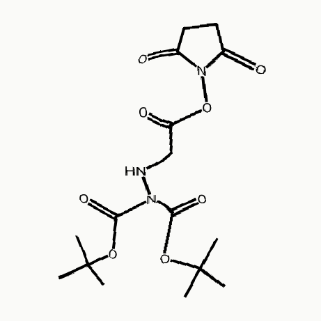 CC(C)(C)OC(=O)N(NCC(=O)ON1C(=O)CCC1=O)C(=O)OC(C)(C)C